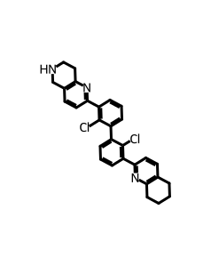 Clc1c(-c2ccc3c(n2)CCCC3)cccc1-c1cccc(-c2ccc3c(n2)CCNC3)c1Cl